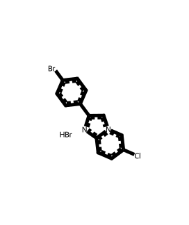 Br.Clc1ccc2nc(-c3ccc(Br)cc3)cn2c1